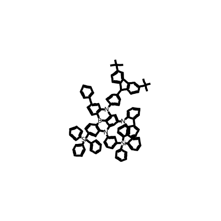 CC(C)(C)c1ccc2c(c1)-c1cc(C(C)(C)C)ccc1C2c1ccc(N2c3cc(-c4ccccc4)ccc3B3c4ccc([Si](c5ccccc5)(c5ccccc5)c5ccccc5)cc4N(c4cccc([Si](c5ccccc5)(c5ccccc5)c5ccccc5)c4)c4cc(-n5c6ccccc6c6ccccc65)cc2c43)cc1